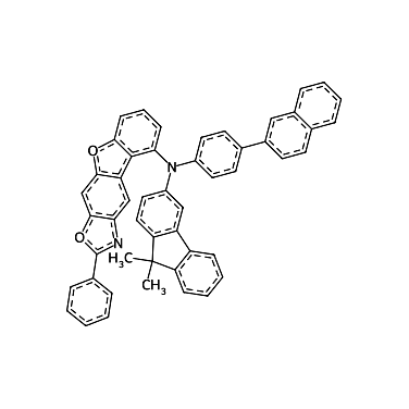 CC1(C)c2ccccc2-c2cc(N(c3ccc(-c4ccc5ccccc5c4)cc3)c3cccc4oc5cc6oc(-c7ccccc7)nc6cc5c34)ccc21